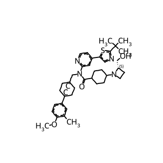 COc1ccc(C23CCC(CN(C(=O)C4CCC(N5CC[C@H]5CO)CC4)c4cc(-c5cnc(C(C)(C)C)s5)ccn4)(CC2)CC3)cc1C